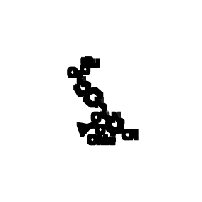 COc1cc([C@H](CN2CCC3(CC2)CCN(C(=O)OC(C)(C)C)C3)OC(=O)C2CC2)ncc1C#N